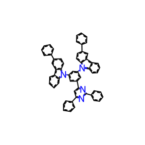 c1ccc(-c2ccc3c(c2)c2ccccc2n3-c2cc(-c3cc(-c4ccccc4)nc(-c4ccccc4)n3)cc(-n3c4ccccc4c4cc(-c5ccccc5)ccc43)c2)cc1